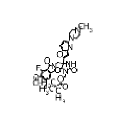 COc1ccc2c(c1F)C(=O)N(C[C@@]1(c3cc4nc(N5CCN(C)CC5)ccc4o3)NC(=O)N(COC(=O)C(C)(C)C)C1=O)C2